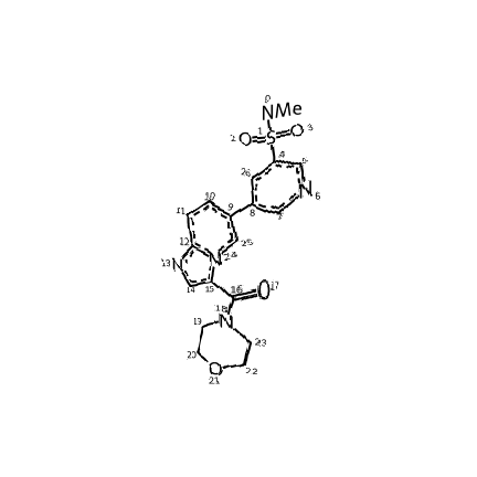 CNS(=O)(=O)c1cncc(-c2ccc3ncc(C(=O)N4CCOCC4)n3c2)c1